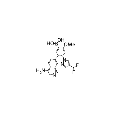 COc1cc(-n2cc(C(F)F)cn2)c(-c2ccc3c(N)cnnc3c2)cc1B(O)O